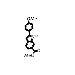 COC(=O)c1ccc2cc(-c3ccc(OC)cc3)[nH]c2c1